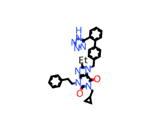 CCc1nc2c(c(=O)n(CC3CC3)c(=O)n2CCc2ccccc2)n1Cc1ccc(-c2ccccc2-c2nnn[nH]2)cc1